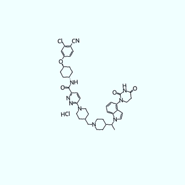 CC(C1CCN(CC2CCN(c3ccc(C(=O)N[C@H]4CC[C@H](Oc5ccc(C#N)c(Cl)c5)CC4)nn3)CC2)CC1)n1ccc2c(N3CCC(=O)NC3=O)cccc21.Cl